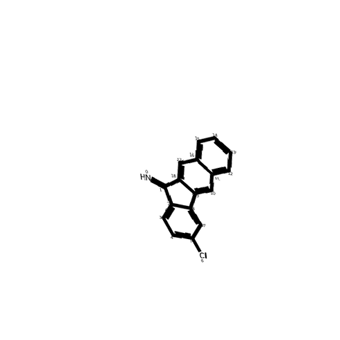 N=C1c2ccc(Cl)cc2-c2cc3ccccc3cc21